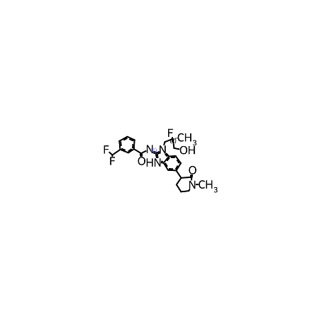 CN1CCCC(c2ccc3c(c2)[nH]/c(=N\C(=O)c2cccc(C(F)F)c2)n3C[C@@](C)(F)CO)C1=O